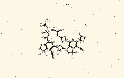 C[C@H]1CCN1c1nc(N2CC(CC(=O)O)C2)c2c(c1C#N)C(F)(F)CC2C1CN(c2nc(N3CC[C@H](CC(=O)O)C3)c3c(c2C#N)C(F)(F)CC3)[C@H]1C